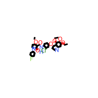 CCOc1cc2nccc(Oc3ccc(NC(=O)c4c(OCC)ccn(-c5ccc(F)cc5)c4=O)c(Cl)c3)c2c2c1OCCO2